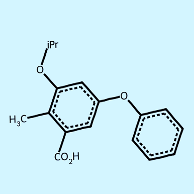 Cc1c(OC(C)C)cc(Oc2ccccc2)cc1C(=O)O